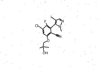 Cn1ncc(I)c1-c1c(F)c(Cl)cc(OCC(C)(C)O)c1C#N